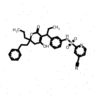 CCCC1(CCc2ccccc2)CC(O)=C(C(CC)c2cccc(NS(=O)(=O)c3cc(C#N)ccn3)c2)C(=O)O1